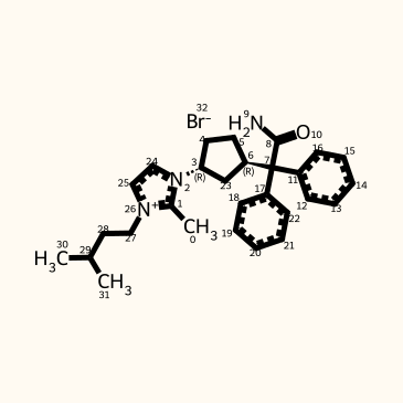 Cc1n([C@@H]2CC[C@@H](C(C(N)=O)(c3ccccc3)c3ccccc3)C2)cc[n+]1CCC(C)C.[Br-]